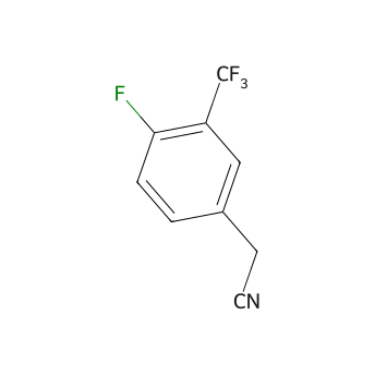 N#CCc1ccc(F)c(C(F)(F)F)c1